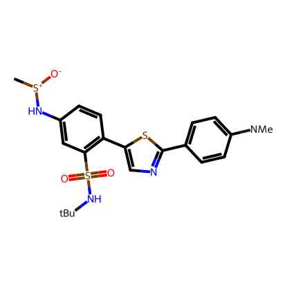 CNc1ccc(-c2ncc(-c3ccc(N[S+](C)[O-])cc3S(=O)(=O)NC(C)(C)C)s2)cc1